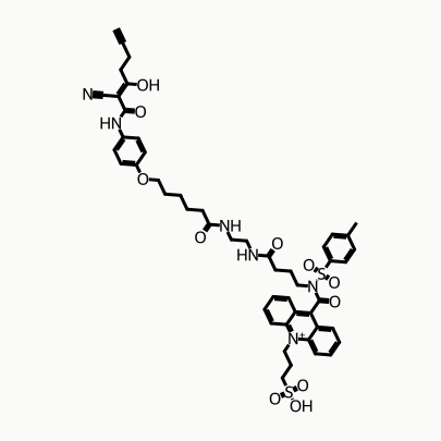 C#CCC/C(O)=C(\C#N)C(=O)Nc1ccc(OCCCCCC(=O)NCCNC(=O)CCCN(C(=O)c2c3ccccc3[n+](CCCS(=O)(=O)O)c3ccccc23)S(=O)(=O)c2ccc(C)cc2)cc1